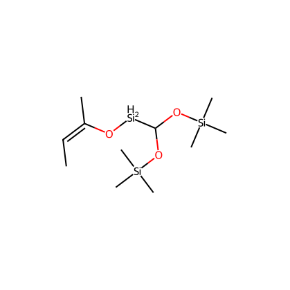 CC=C(C)O[SiH2]C(O[Si](C)(C)C)O[Si](C)(C)C